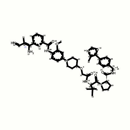 COc1cc(N2CCC(OCC(=O)N[C@H](C(=O)N3CCC[C@H]3C(=O)N[C@@H](C)c3ccc(-c4scnc4C)cc3)C(C)(C)C)CC2)ccc1NC(=O)c1cccc(/C(N)=C(\C)C=N)n1